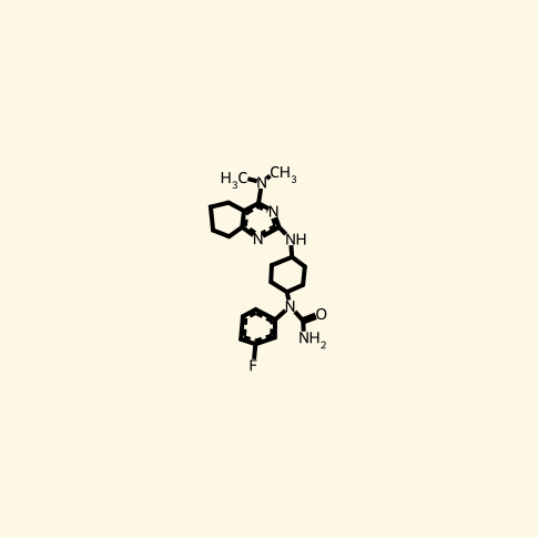 CN(C)c1nc(NC2CCC(N(C(N)=O)c3cccc(F)c3)CC2)nc2c1CCCC2